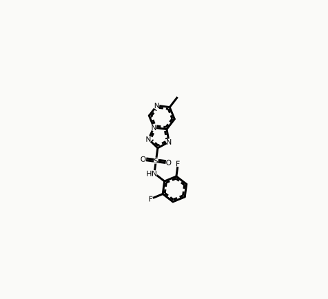 Cc1cc2nc(S(=O)(=O)Nc3c(F)cccc3F)nn2cn1